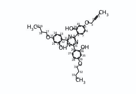 CC#CCOc1ccc(-c2nc(-c3ccc(OCCCC)cc3O)nc(-c3ccc(OCCCC)cc3O)n2)c(O)c1